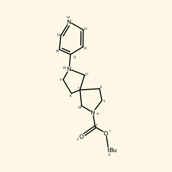 CC(C)(C)OC(=O)N1CCC2(CCN(c3ccncc3)C2)C1